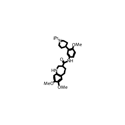 COc1cc2c(cc1OC)NCC(C(=O)Nc1ccc(OC)c(C3CCN(C(C)C)CC3)c1)CC2